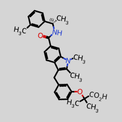 Cc1cccc([C@H](C)NC(=O)c2ccc3c(Cc4cccc(OC(C)(C)C(=O)O)c4)c(C)n(C)c3c2)c1